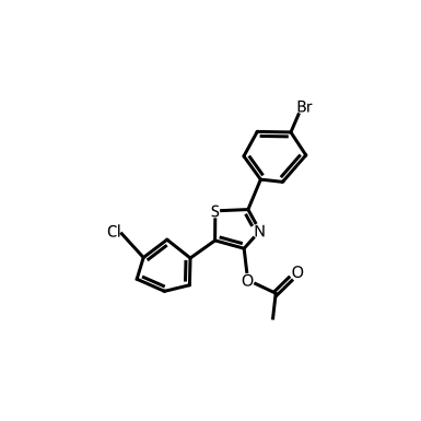 CC(=O)Oc1nc(-c2ccc(Br)cc2)sc1-c1cccc(Cl)c1